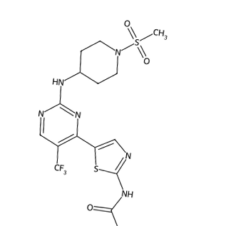 COC(=O)Nc1ncc(-c2nc(NC3CCN(S(C)(=O)=O)CC3)ncc2C(F)(F)F)s1